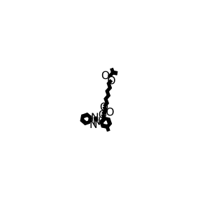 C=C(C)C(=O)OCCCCCCOC(=O)Oc1ccc(C)cc1-n1nc2ccccc2n1